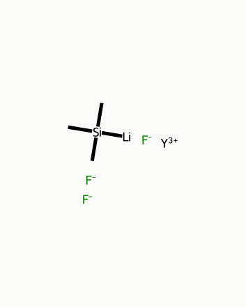 [F-].[F-].[F-].[Li][Si](C)(C)C.[Y+3]